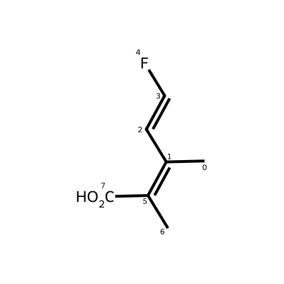 CC(C=CF)=C(C)C(=O)O